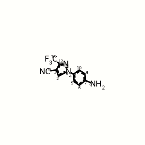 N#Cc1cn(-c2ccc(N)cc2)nc1C(F)(F)F